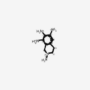 Nc1cc2c(c(N)c1N)CN(N)CC2